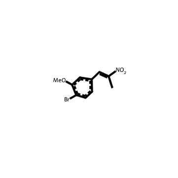 COc1cc(/C=C(\C)[N+](=O)[O-])ccc1Br